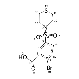 O=C(O)c1cc(S(=O)(=O)N2CCSCC2)ccc1Br